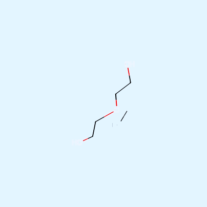 CCC.OCCOCCO